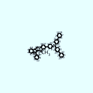 CC1(C)c2cc(C3=CC=C(N(c4ccc(-c5ccccc5)cc4)C4C=CC(c5ccccc5)=CC4)CC3)ccc2-n2cc3c4ccccc4n(-c4ccccc4)c3c21